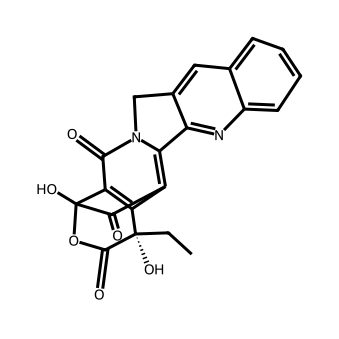 CC[C@@]1(O)C(=O)OC2(O)C(=O)c3c1c2c(=O)n1c3-c2nc3ccccc3cc2C1